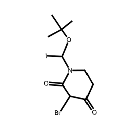 CC(C)(C)OC(I)N1CCC(=O)C(Br)C1=O